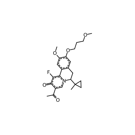 COCCCOc1cc2c(cc1OC)-c1c(F)c(=O)c(C(C)=O)cn1C(C1(C)CC1)C2